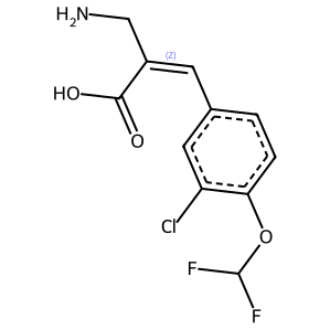 NC/C(=C/c1ccc(OC(F)F)c(Cl)c1)C(=O)O